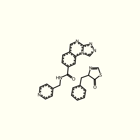 O=C(NCc1ccncc1)c1ccc2cnc3nncn3c2c1.O=C1SC=NC1Cc1ccccc1